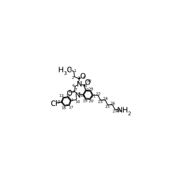 CCCC(=O)N1CC(=O)N(Cc2ccc(Cl)cc2)c2ccc(CCCCCCN)cc2C1=O